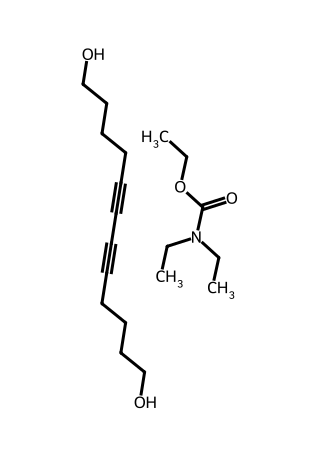 CCOC(=O)N(CC)CC.OCCCCC#CC#CCCCCO